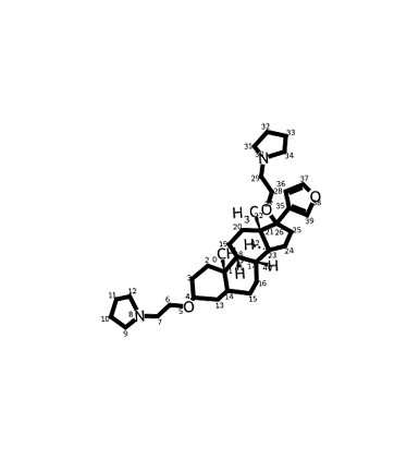 C[C@]12CCC(OCCN3CCCC3)CC1CC[C@@H]1[C@H]2CC[C@@]2(C)[C@H]1CCC2(OCCN1CCCC1)c1ccoc1